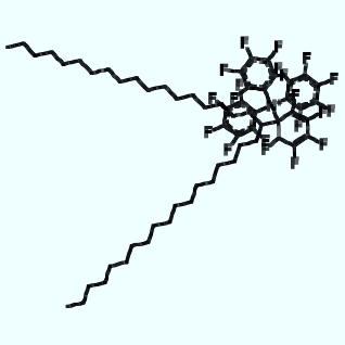 CCCCCCCCCCCCCCCCCCC(CCCCCCCCCCCCCCCCCC)C1([N+](c2c(F)c(F)c(F)c(F)c2F)(c2c(F)c(F)c(F)c(F)c2F)c2c(F)c(F)c(F)c(F)c2F)C(F)=C(F)C(F)=C(F)C1F